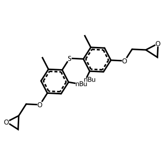 CCCCc1cc(OCC2CO2)cc(C)c1Sc1c(C)cc(OCC2CO2)cc1CCCC